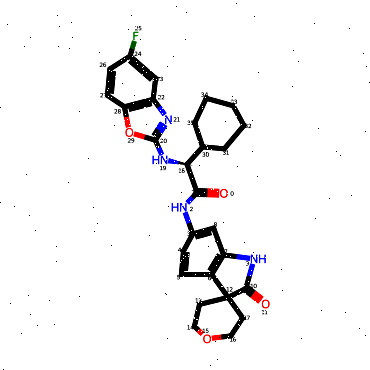 O=C(Nc1ccc2c(c1)NC(=O)C21CCOCC1)[C@@H](Nc1nc2cc(F)ccc2o1)C1CCCCC1